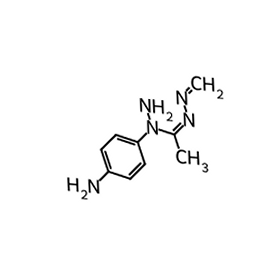 C=N/N=C(/C)N(N)c1ccc(N)cc1